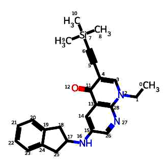 CCn1cc(C#C[Si](C)(C)C)c(=O)c2cc(NC3Cc4ccccc4C3)cnc21